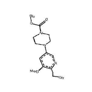 COc1cc(N2CCN(C(=O)OC(C)(C)C)CC2)cnc1CO